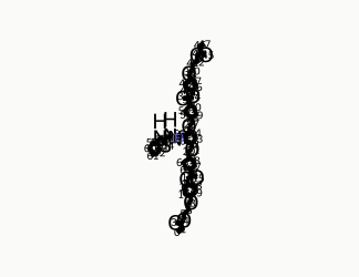 C=CC(=O)OCCCOc1ccc(OC(=O)C2CCC(COc3ccc(OCC4CCC(C(=O)Oc5ccc(OCCCOC(=O)C=C)cc5)CC4)c(/C=N/NC4Nc5ccccc5S4)c3)CC2)cc1